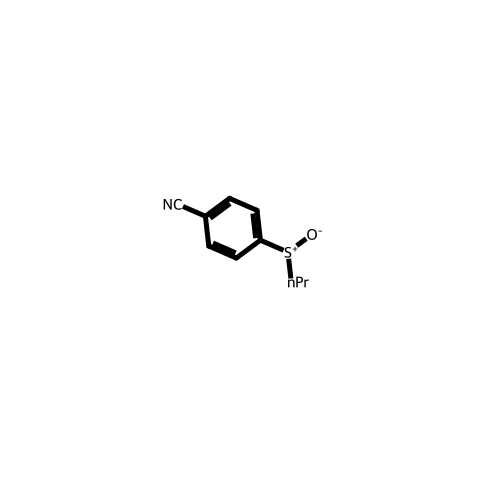 [CH2]CC[S+]([O-])c1ccc(C#N)cc1